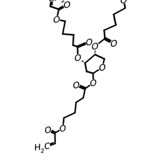 C=CC(=O)OCCCCC(=O)OC1C[C@H](OC(=O)CCCCOC(=O)C=C)[C@H](OC(=O)CCCCOC(C)=O)CO1